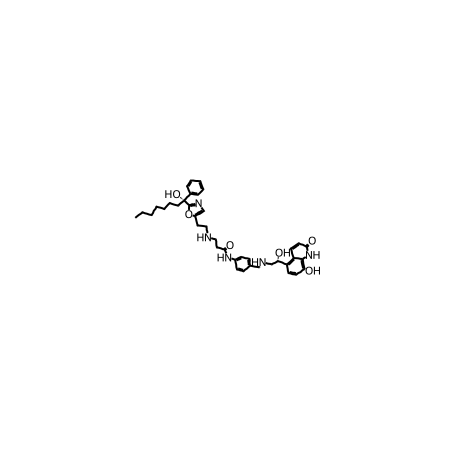 CCCCCCC[C@@](O)(c1ccccc1)c1ncc(CCNCCC(=O)Nc2ccc(CNC[C@H](O)c3ccc(O)c4[nH]c(=O)ccc34)cc2)o1